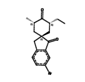 CC[C@@H]1C[C@@]2(Cc3ccc(Br)cc3C2=O)C[C@H](C)C1=O